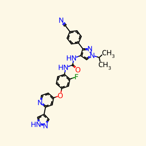 CC(C)n1cc(NC(=O)Nc2ccc(Oc3ccnc(-c4cn[nH]c4)c3)cc2F)c(-c2ccc(C#N)cc2)n1